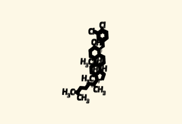 CC(C)CCC[C@@H](C)[C@H]1CC[C@H]2[C@@H]3CCC4[C@H](Cc5ccc(Cl)c(Cl)c5)[C@H](O)CC[C@]4(C)[C@H]3CC[C@]12C